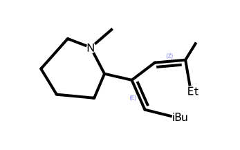 CC/C(C)=C\C(=C/C(C)CC)C1CCCCN1C